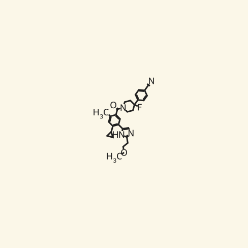 COCCc1ncc(-c2cc(C(=O)N3CCC(F)(c4ccc(C#N)cc4)CC3)c(C)cc2C2CC2)[nH]1